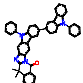 CC1(C)c2ccccc2C(=O)n2c1nc1cc3c(cc12)c1cc(-c2ccc4c(c2)c2ccccc2n4-c2ccccc2)ccc1n3-c1ccccc1